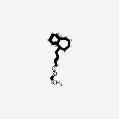 CCOOCC=CCC1CCCCc2ccccc21